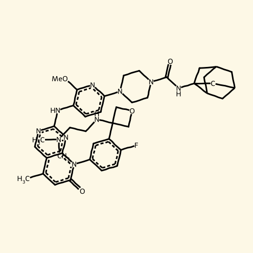 COc1nc(N2CCN(C(=O)NC34CC5CC(CC3C5)C4)CC2)ccc1Nc1ncc2c(C)cc(=O)n(-c3ccc(F)c(C4(NCCN(C)C)COC4)c3)c2n1